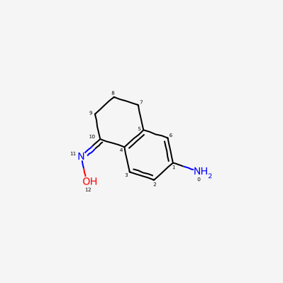 Nc1ccc2c(c1)CCC/C2=N/O